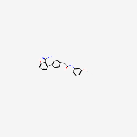 Nc1noc2cccc(-c3ccc(CC(=O)Nc4cccc(OC(F)(F)F)c4)cc3)c12